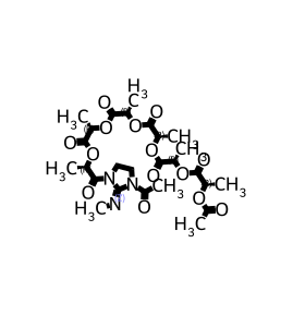 C/N=C1/N(C(C)=O)CCN1C(=O)[C@@H](C)OC(=O)[C@@H](C)OC(=O)[C@@H](C)OC(=O)[C@@H](C)OC(=O)[C@@H](C)OC(=O)[C@@H](C)OC(C)=O